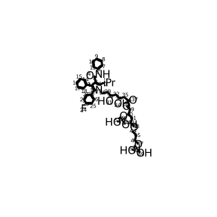 CC(C)c1c(C(=O)Nc2ccccc2)c(-c2ccccc2)c(-c2ccc(F)cc2)n1CCC(O)CC(O)CC(=O)OCC(CCOCCCON(O)O)ON(O)O